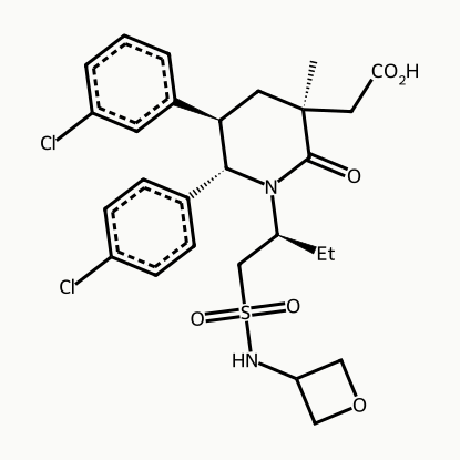 CC[C@@H](CS(=O)(=O)NC1COC1)N1C(=O)[C@](C)(CC(=O)O)C[C@H](c2cccc(Cl)c2)[C@H]1c1ccc(Cl)cc1